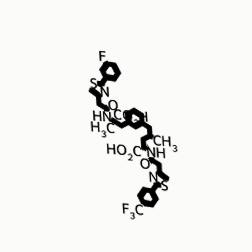 CC(Cc1cccc(CC(C)(NC(=O)Cc2csc(-c3cccc(F)c3)n2)C(=O)O)c1)C[C@H](NC(=O)Cc1csc(-c2ccc(C(F)(F)F)cc2)n1)C(=O)O